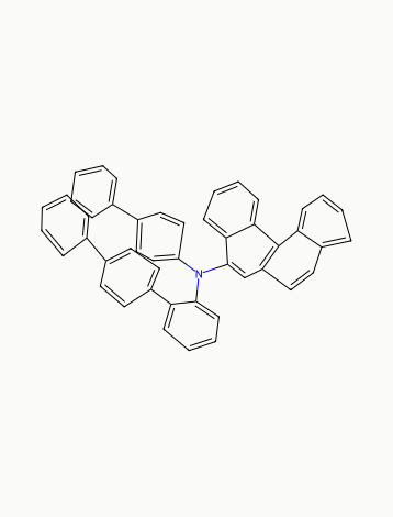 c1ccc(-c2ccc(-c3ccccc3N(c3ccc(-c4ccccc4)cc3)c3cc4ccc5ccccc5c4c4ccccc34)cc2)cc1